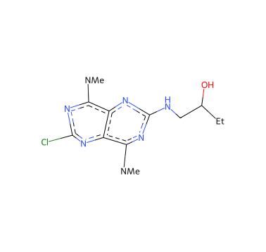 CCC(O)CNc1nc(NC)c2nc(Cl)nc(NC)c2n1